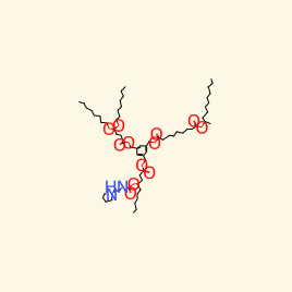 CCCCCCCCCC(C)OC(=O)CCCCCCCC(=O)OCc1cc(COC(=O)CCC(CCCCCC)OC(=O)NCCN2CCCC2)cc(COC(=O)CCC(OCCCCCCCC)OCCCCCCCC)c1